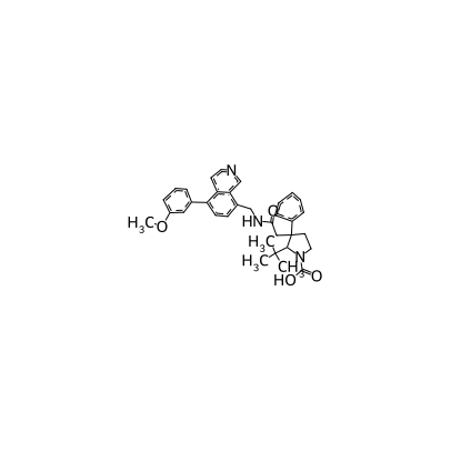 COc1cccc(-c2ccc(CNC(=O)CC3(c4ccccc4)CCN(C(=O)O)C3C(C)(C)C)c3cnccc23)c1